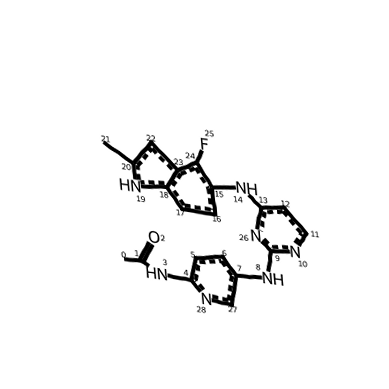 CC(=O)Nc1ccc(Nc2nccc(Nc3ccc4[nH]c(C)cc4c3F)n2)cn1